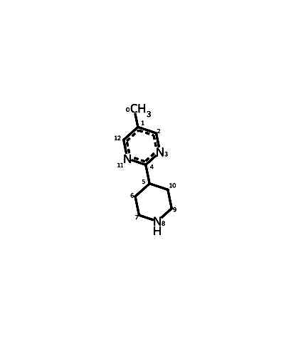 Cc1cnc(C2CCNCC2)nc1